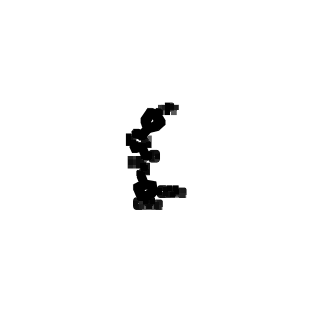 CCCc1ccc(-c2cncc(C(=O)NN=Cc3cc(OC)cc(OC)c3)n2)cc1